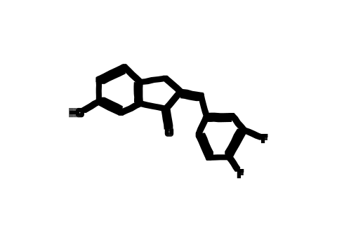 O=C1C(=Cc2ccc(F)c(F)c2)Cc2ccc(O)cc21